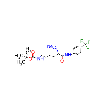 CC(C)(C)OC(=O)NCCCCC(N=[N+]=[N-])C(=O)NCc1ccc(C(F)(F)F)cc1